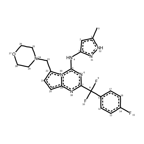 Cc1cc(Nc2nc(C(F)(F)c3ccc(F)cc3)nc3ccc(CN4CCOCC4)n23)n[nH]1